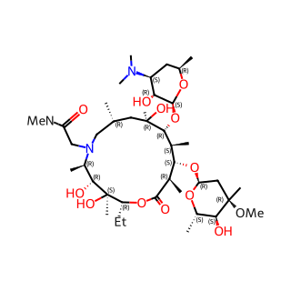 CC[C@H]1OC(=O)[C@H](C)[C@@H](O[C@H]2C[C@@](C)(OC)[C@@H](O)[C@H](C)O2)[C@H](C)[C@@H](O[C@@H]2O[C@H](C)C[C@H](N(C)C)[C@H]2O)[C@](C)(O)C[C@@H](C)CN(CC(=O)NC)[C@H](C)[C@@H](O)[C@]1(C)O